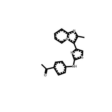 CC(=O)c1ccc(Nc2nc(-c3c(C)nc4ccccn34)cs2)cc1